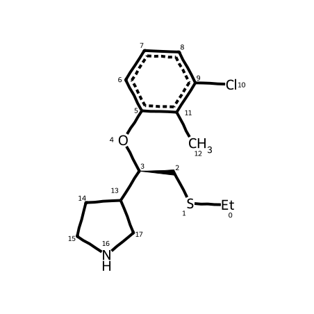 CCSC[C@H](Oc1cccc(Cl)c1C)C1CCNC1